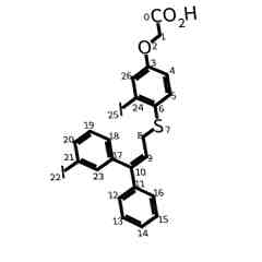 O=C(O)COc1ccc(SCC=C(c2ccccc2)c2cccc(I)c2)c(I)c1